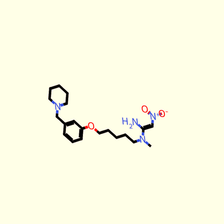 CN(CCCCCOc1cccc(CN2CCCCC2)c1)C(N)=C[N+](=O)[O-]